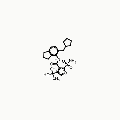 CC(C)(O)c1coc(S(N)(=O)=O)c1C(=O)Nc1c(CC2CCCC2)ccc2c1CCC2